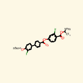 CCCCCCCCCOc1ccc(-c2ccc(C(=O)Oc3ccc(C(=O)OC(CCCCCC)C(F)(F)F)c(F)c3)cc2)cc1F